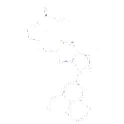 CNC(=O)[C@]1(C)CC[C@@H](Nc2ncc3c(Br)nn(-c4cc([C@@H](C)N)c5nccnc5c4)c3n2)C1